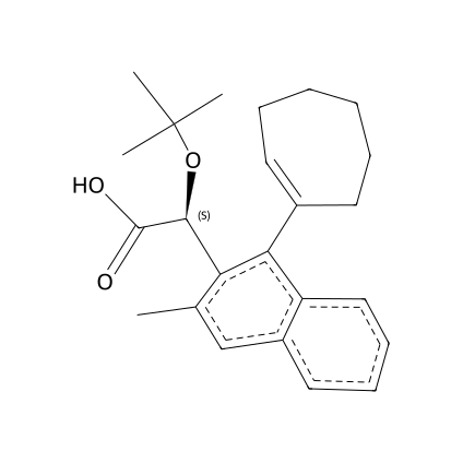 Cc1cc2ccccc2c(C2=CCCCCC2)c1[C@H](OC(C)(C)C)C(=O)O